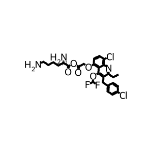 CCc1nc2c(Cl)ccc(OCC(=O)OC(=O)[C@@H](N)CCCCN)c2c(OC(F)F)c1Cc1ccc(Cl)cc1